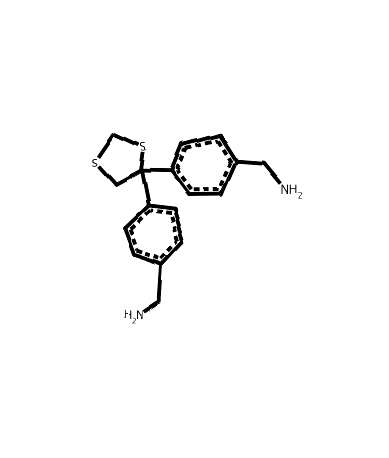 NCc1ccc(C2(c3ccc(CN)cc3)CSCS2)cc1